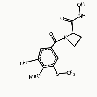 CCCc1cc(C(=O)N2CC[C@@H]2C(=O)NO)cc(SC(F)(F)F)c1OC